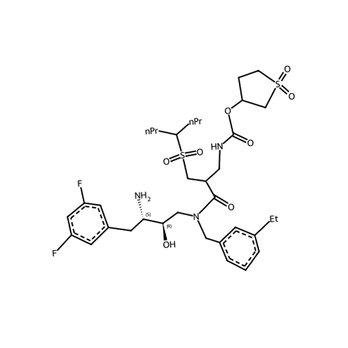 CCCC(CCC)S(=O)(=O)CC(CNC(=O)OC1CCS(=O)(=O)C1)C(=O)N(Cc1cccc(CC)c1)C[C@@H](O)[C@@H](N)Cc1cc(F)cc(F)c1